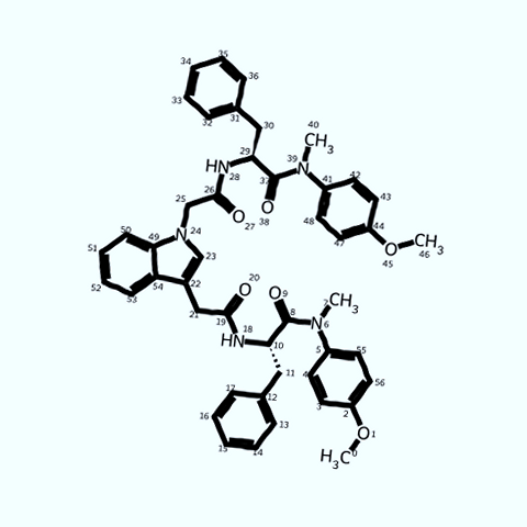 COc1ccc(N(C)C(=O)[C@H](Cc2ccccc2)NC(=O)Cc2cn(CC(=O)N[C@@H](Cc3ccccc3)C(=O)N(C)c3ccc(OC)cc3)c3ccccc23)cc1